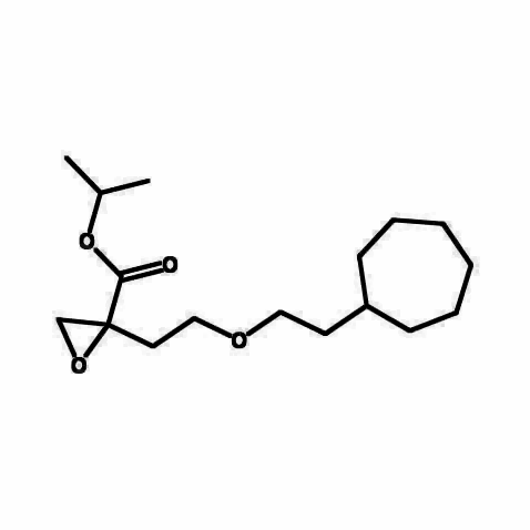 CC(C)OC(=O)C1(CCOCCC2CCCCCC2)CO1